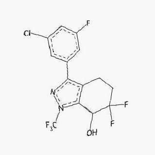 OC1c2c(c(-c3cc(F)cc(Cl)c3)nn2C(F)(F)F)CCC1(F)F